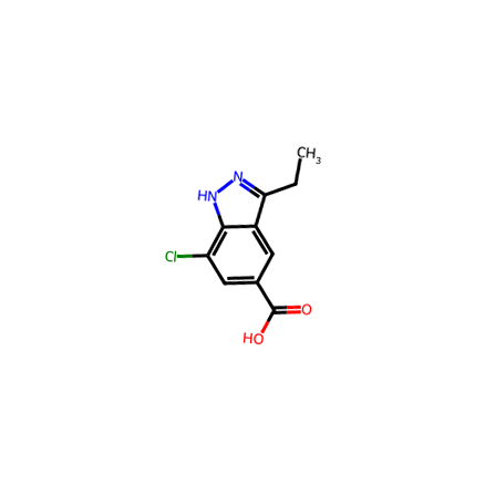 CCc1n[nH]c2c(Cl)cc(C(=O)O)cc12